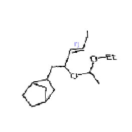 CCOC(C)OC(/C=C/I)CC1CC2CCC1C2